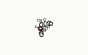 CN1CC2CCC(C1)N2c1ccc(C[C@@H](C#N)NC(=O)[C@@H]2CC3CC[C@@H](C3)N2C(=O)OC(C)(C)C)c(F)c1